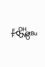 CC(C)(C)OC(=O)N1CCc2cc(C(C)(F)F)cc(O)c2C1